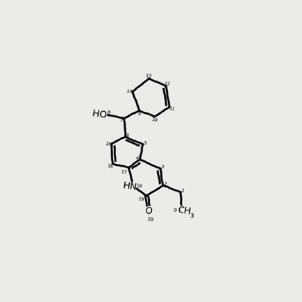 CCc1cc2cc(C(O)C3CC=CCC3)ccc2[nH]c1=O